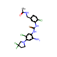 CC(C)(C)C(=O)NCc1ccc(Cl)c(NC(=S)Nc2cc(Cl)c(N3CCC(F)(F)C3)cc2N)c1